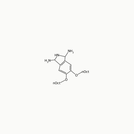 CCCCCCCCOc1cc2c(cc1OCCCCCCCC)C(N)NC2N